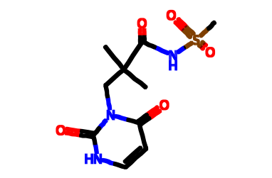 CC(C)(Cn1c(=O)cc[nH]c1=O)C(=O)NS(C)(=O)=O